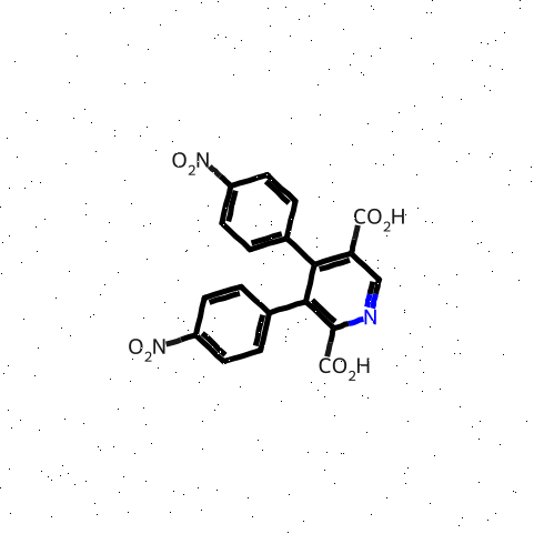 O=C(O)c1cnc(C(=O)O)c(-c2ccc([N+](=O)[O-])cc2)c1-c1ccc([N+](=O)[O-])cc1